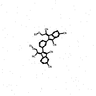 CCOC/C(C#N)=C1\C(c2cccc(C3=C(C#N)c4cc(C#N)ccc4/C3=C(\C#N)COCC)c2)=C(C#N)c2cc(C#N)ccc21